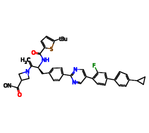 C=C([C@H](Cc1ccc(-c2ncc(-c3ccc(-c4ccc(C5CC5)cc4)cc3F)cn2)cc1)NC(=O)c1ccc(C(C)(C)C)s1)N1CC(C(=O)N=O)C1